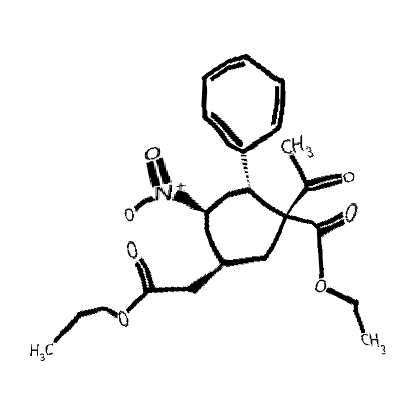 CCOC(=O)C[C@@H]1C[C@@](C(C)=O)(C(=O)OCC)[C@@H](c2ccccc2)[C@@H]1[N+](=O)[O-]